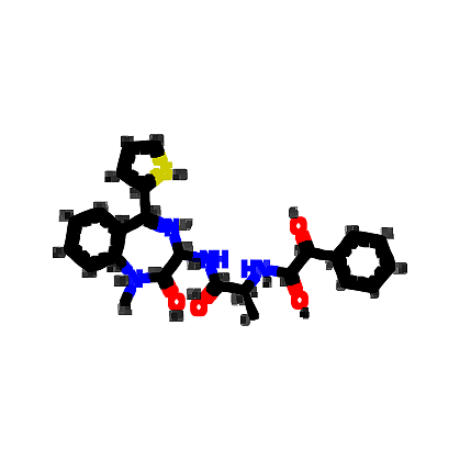 C[C@H](NC(=O)C(=O)c1ccccc1)C(=O)NC1N=C(c2cccs2)c2ccccc2N(C)C1=O